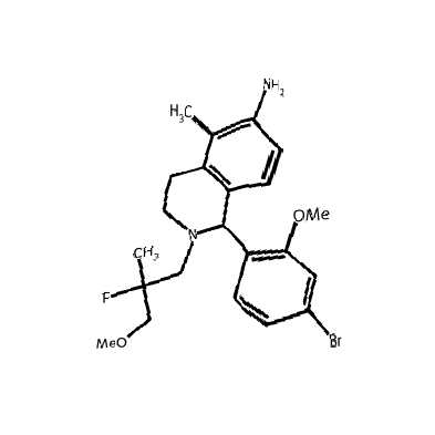 COCC(C)(F)CN1CCc2c(ccc(N)c2C)C1c1ccc(Br)cc1OC